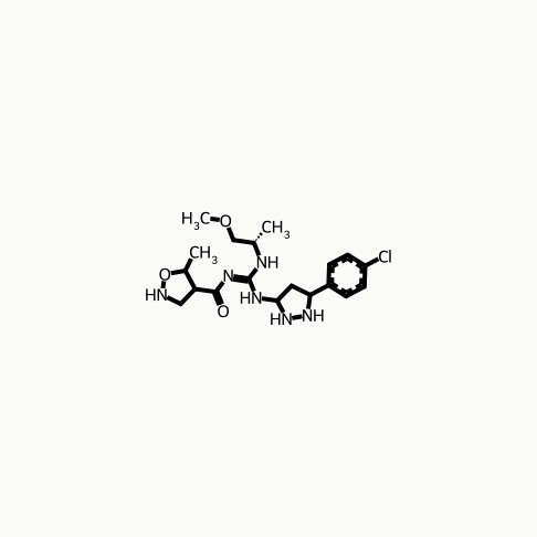 COC[C@H](C)N/C(=N/C(=O)C1CNOC1C)NC1CC(c2ccc(Cl)cc2)NN1